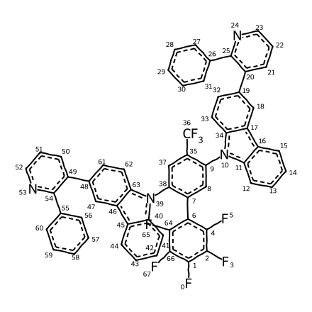 Fc1c(F)c(F)c(-c2cc(-n3c4ccccc4c4cc(-c5cccnc5-c5ccccc5)ccc43)c(C(F)(F)F)cc2-n2c3ccccc3c3cc(-c4cccnc4-c4ccccc4)ccc32)c(F)c1F